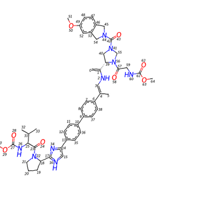 C=C(N/C=C(\C)c1ccc(-c2ccc(-c3c[nH]c(C4CCCN4C(=O)C(NC(=O)OC)C(C)C)n3)cc2)cc1)[C@@H]1CN(C(=O)N2Cc3ccc(OC)cc3C2)CN1C(=O)CNC(=O)OC